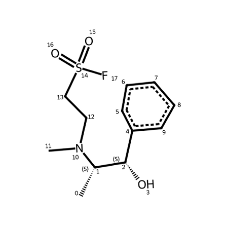 C[C@@H]([C@@H](O)c1ccccc1)N(C)CCS(=O)(=O)F